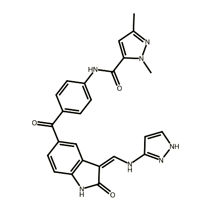 Cc1cc(C(=O)Nc2ccc(C(=O)c3ccc4c(c3)/C(=C/Nc3cc[nH]n3)C(=O)N4)cc2)n(C)n1